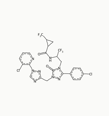 O=C(NC(Cn1c(-c2ccc(Cl)cc2)nn(Cc2ncn(-c3ncccc3Cl)n2)c1=O)C(F)(F)F)C1CC1C(F)(F)F